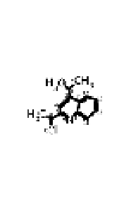 CC(C)c1cc(C(C)Cl)nc2ccccc12